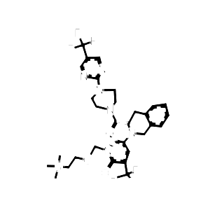 C[Si](C)(C)CCOCn1nc(N2Cc3ccccc3C[C@H]2C(=O)N2CCN(c3ncc(C(F)(F)F)cn3)CC2)cc(C(F)(F)F)c1=O